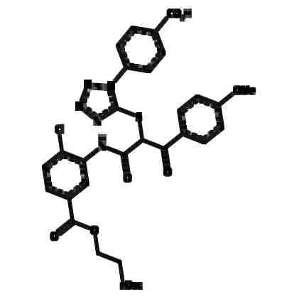 CCCCCCCCCCCCOC(=O)c1ccc(Cl)c(NC(=O)C(Sc2nnnn2-c2ccc(C(=O)O)cc2)C(=O)c2ccc(OC)cc2)c1